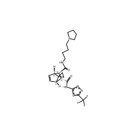 O=C(NCCCCN1CCCC1)[C@H]1[C@H](C(=O)Nc2nnc(C(F)(F)F)s2)[C@@H]2C=C[C@H]1C21CC1